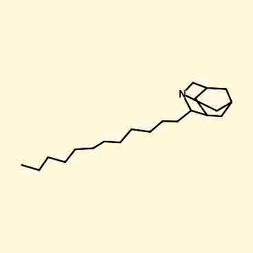 CCCCCCCCCCCCC1C2CC3CC(C2)CN1C3